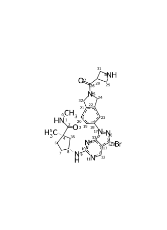 CNC(=O)[C@]1(C)CC[C@@H](Nc2ncc3c(Br)nn(-c4ccc5c(c4)CN(C(=O)C4CNC4)C5)c3n2)C1